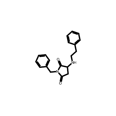 O=C1CC(NCCc2ccccc2)C(=O)N1Cc1ccccc1